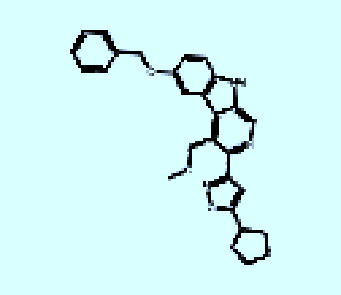 COCc1c(-c2cc(C3CCCC3)on2)ncc2[nH]c3ccc(OCc4ccccc4)cc3c12